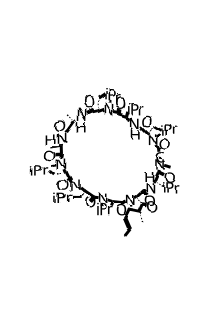 C/C=C/C[C@@H](C)C(=O)[C@H]1C(=O)N[C@@H](C(C)C)C(=O)N(C)CC(=O)N(C)[C@@H](CC(C)C)C(=O)NC(C(C)C)C(=O)N(C)[C@@H](CC(C)C)C(=O)N[C@@H](C)C(=O)N[C@H](C)C(=O)N(C)[C@@H](CC(C)C)C(=O)N(C)[C@@H](CC(C)C)C(=O)N(C)C(C(C)C)C(=O)N1C